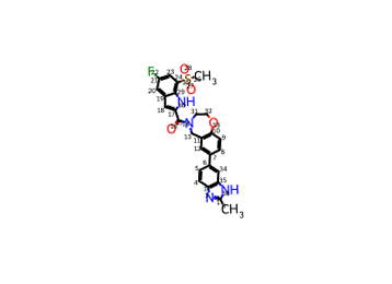 Cc1nc2ccc(-c3ccc4c(c3)CN(C(=O)c3cc5cc(F)cc(S(C)(=O)=O)c5[nH]3)CCO4)cc2[nH]1